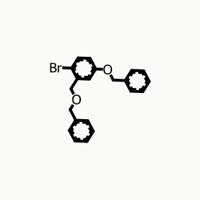 Brc1ccc(OCc2ccccc2)cc1COCc1ccccc1